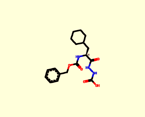 O=C(O)NNC(=O)[C@H](CC1CCCCC1)NC(=O)OCc1ccccc1